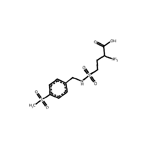 CS(=O)(=O)c1ccc(CNS(=O)(=O)CCC(N)C(=O)O)cc1